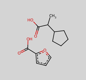 CC(C(=O)O)C1CCCC1.O=C(O)c1ccco1